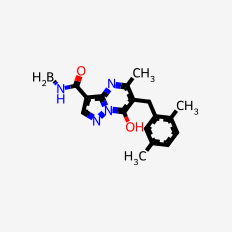 BNC(=O)c1cnn2c(O)c(Cc3cc(C)ccc3C)c(C)nc12